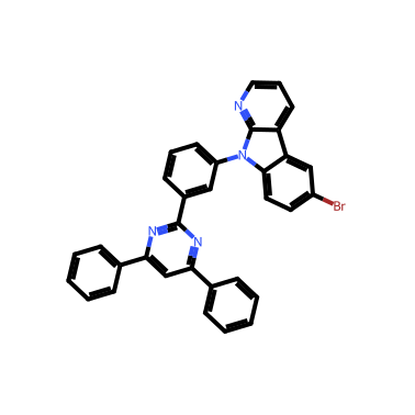 Brc1ccc2c(c1)c1cccnc1n2-c1cccc(-c2nc(-c3ccccc3)cc(-c3ccccc3)n2)c1